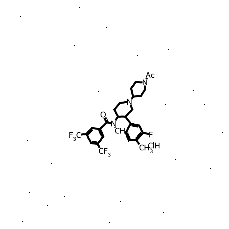 CC(=O)N1CCC(N2CCC(N(C)C(=O)c3cc(C(F)(F)F)cc(C(F)(F)F)c3)C(c3ccc(C)c(F)c3)C2)CC1.Cl